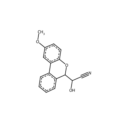 COc1ccc2c(c1)-c1ccccc1C(C(O)C#N)O2